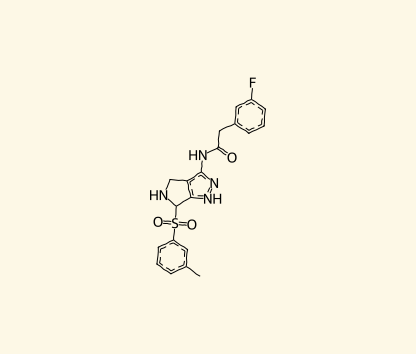 Cc1cccc(S(=O)(=O)C2NCc3c(NC(=O)Cc4cccc(F)c4)n[nH]c32)c1